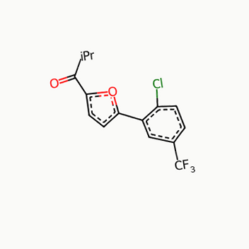 CC(C)C(=O)c1ccc(-c2cc(C(F)(F)F)ccc2Cl)o1